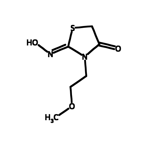 COCCN1C(=O)CSC1=NO